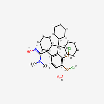 CN(C)C(Cc1ccc(SCl)c(SCl)[c]1[Sn]([CH]1CCCCC1)([CH]1CCCCC1)[CH]1CCCCC1)=NO.O